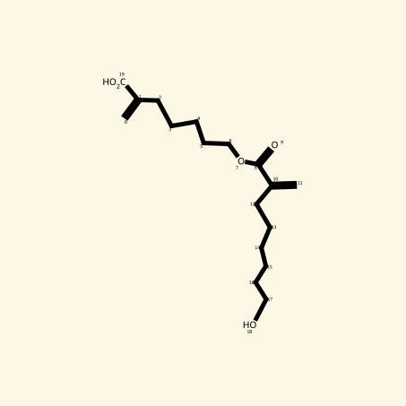 C=C(CCCCCOC(=O)C(=C)CCCCCCO)C(=O)O